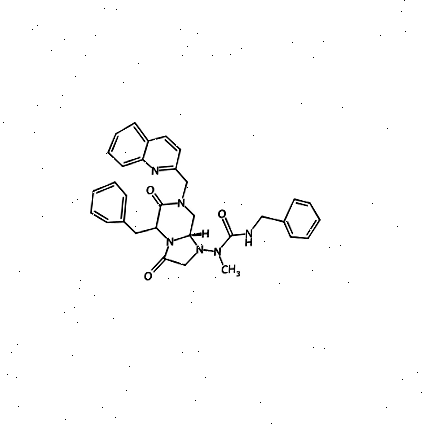 CN(C(=O)NCc1ccccc1)N1CC(=O)N2C(Cc3ccccc3)C(=O)N(Cc3ccc4ccccc4n3)C[C@@H]21